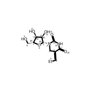 CCC=C1CN([C@@H]2O[C@H](CO)[C@@H](O)[C@H]2O)C(=O)NC1=O